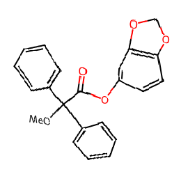 COC(C(=O)Oc1ccc2c(c1)OCO2)(c1ccccc1)c1ccccc1